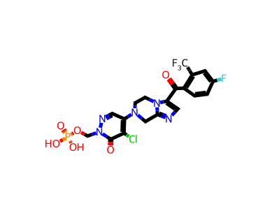 O=C(c1ccc(F)cc1C(F)(F)F)c1cnc2n1CCN(c1cnn(COP(=O)(O)O)c(=O)c1Cl)C2